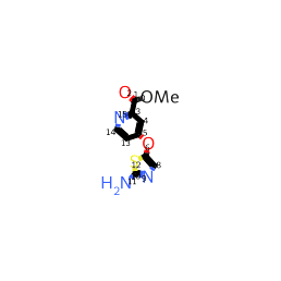 COC(=O)c1cc(Oc2cnc(N)s2)ccn1